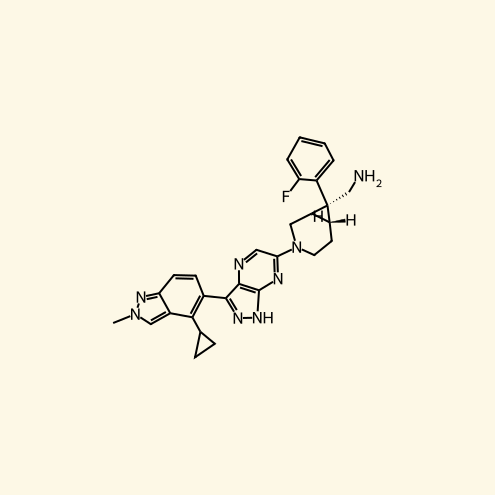 Cn1cc2c(C3CC3)c(-c3n[nH]c4nc(N5CC[C@@H]6[C@H](C5)[C@@]6(CN)c5ccccc5F)cnc34)ccc2n1